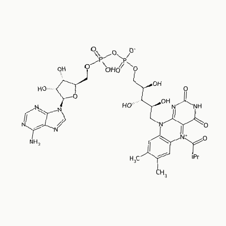 Cc1cc2c(cc1C)[n+](C(=O)C(C)C)c1c(=O)[nH]c(=O)nc-1n2C[C@H](O)[C@H](O)[C@H](O)COP(=O)([O-])OP(=O)(O)OC[C@H]1O[C@@H](n2cnc3c(N)ncnc32)[C@H](O)[C@@H]1O